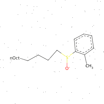 CCCCCCCCCCCC[S+]([O-])c1ccccc1C